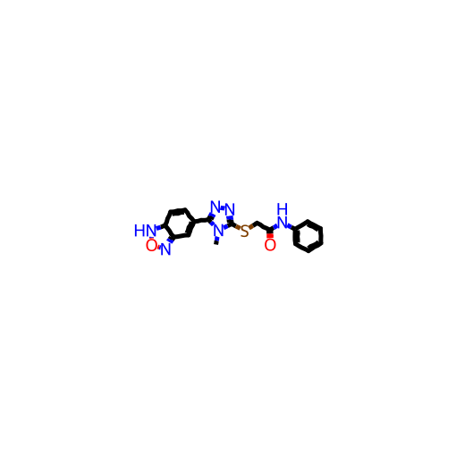 Cn1c(SCC(=O)Nc2ccccc2)nnc1C1=CC2=NONC2C=C1